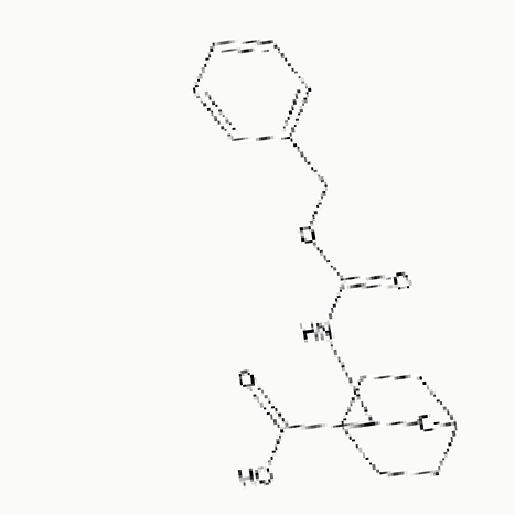 O=C(NC1CC2CCC1(C(=O)O)CC2)OCc1ccccc1